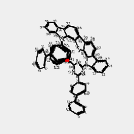 c1ccc(-c2ccc(-c3nc(-c4ccccc4)nc(-n4c5ccccc5c5ccc6c7ccc8c9ccccc9n(-c9cccc(-c%10ccccc%10)c9)c8c7sc6c54)n3)cc2)cc1